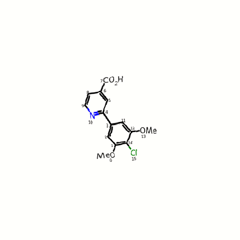 COc1cc(-c2cc(C(=O)O)ccn2)cc(OC)c1Cl